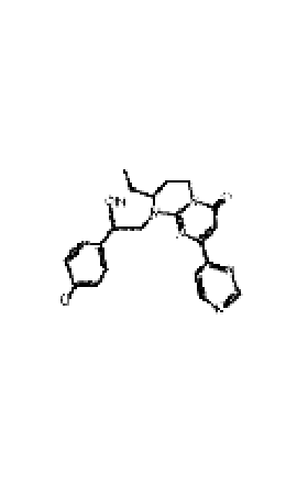 CCC1CCn2c(nc(-c3ccncn3)cc2=O)N1CC(O)c1ccc(Cl)cc1